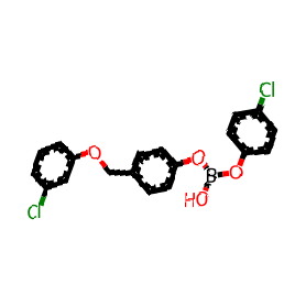 OB(Oc1ccc(Cl)cc1)Oc1ccc(COc2cccc(Cl)c2)cc1